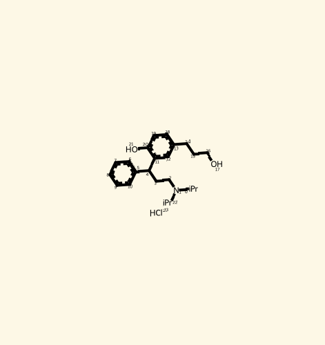 CC(C)N(CCC(c1ccccc1)c1cc(CCCO)ccc1O)C(C)C.Cl